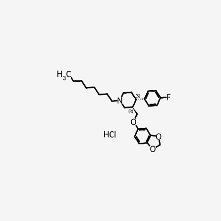 CCCCCCCCN1CC[C@H](c2ccc(F)cc2)[C@@H](COc2ccc3c(c2)OCO3)C1.Cl